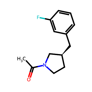 CC(=O)N1CC[C@H](Cc2cccc(F)c2)C1